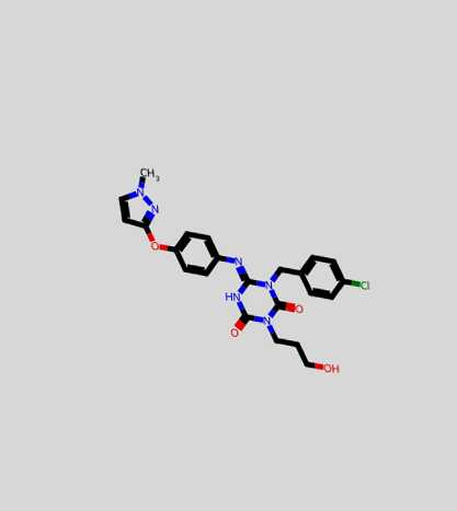 Cn1ccc(Oc2ccc(/N=c3\[nH]c(=O)n(CCCO)c(=O)n3Cc3ccc(Cl)cc3)cc2)n1